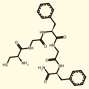 NC(=O)[C@H](Cc1ccccc1)NC(=O)CNC(=O)[C@H](Cc1ccccc1)NC(=O)CNC(=O)[C@@H](N)CS